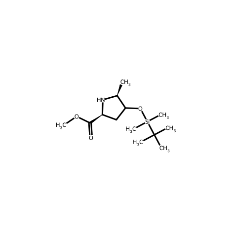 COC(=O)[C@@H]1CC(O[Si](C)(C)C(C)(C)C)[C@H](C)N1